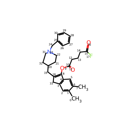 Cc1cc2c(cc1C)C(OC(=O)CCCC(=O)F)=C(CC1CCN(Cc3ccccc3)CC1)C2